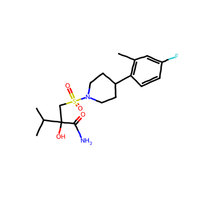 Cc1cc(F)ccc1C1CCN(S(=O)(=O)CC(O)(C(N)=O)C(C)C)CC1